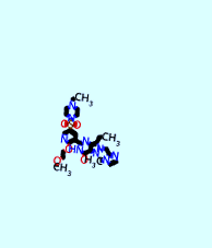 CCc1c2nc(-c3cc(S(=O)(=O)N4CCN(CC)CC4)cnc3OCCOC)[nH]c(=O)c2nn1Cc1nccn1C